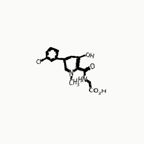 CN1CC(c2cccc(Cl)c2)=CC(O)=C1C(=O)NCC(=O)O